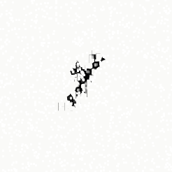 COCC1(CN(C)c2cc(-c3cnc(C4CC4)c(C(F)(F)F)c3)nc3nc(NC(=O)c4ccc(CN5CCCC5C(=O)O)cn4)[nH]c23)CCCC1